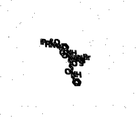 C=C(NC(=O)Cn1cccc(NC(=O)C(CC/C=C/C(=O)NCc2ccccc2)NC(=O)c2nc(Br)cs2)c1=O)C(C)C